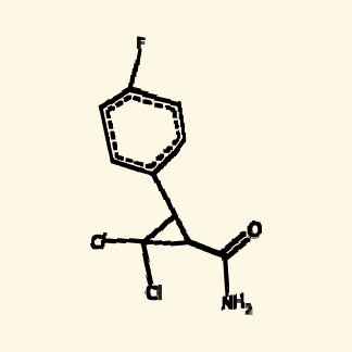 NC(=O)C1C(c2ccc(F)cc2)C1(Cl)Cl